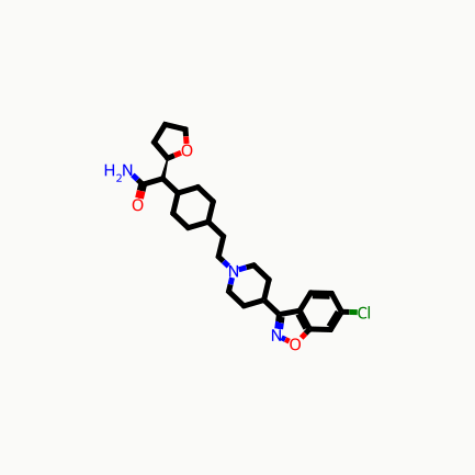 NC(=O)C(C1CCC(CCN2CCC(c3noc4cc(Cl)ccc34)CC2)CC1)[C@H]1CCCO1